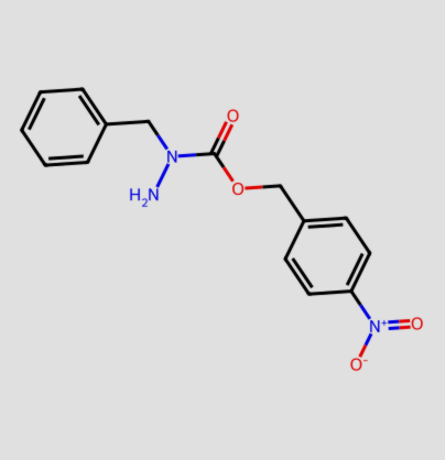 NN(Cc1ccccc1)C(=O)OCc1ccc([N+](=O)[O-])cc1